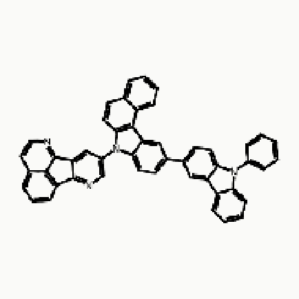 c1ccc(-n2c3ccccc3c3cc(-c4ccc5c(c4)c4c6ccccc6ccc4n5-c4cnc5c(c4)-c4nccc6cccc-5c46)ccc32)cc1